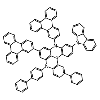 c1ccc(-c2ccc(N3c4ccc(-c5ccccc5)cc4B4c5ccc(-n6c7ccccc7c7ccccc76)cc5N(c5ccc6c7ccccc7c7ccccc7c6c5)c5cc(-c6ccc7c8ccccc8c8ccccc8c7c6)cc3c54)cc2)cc1